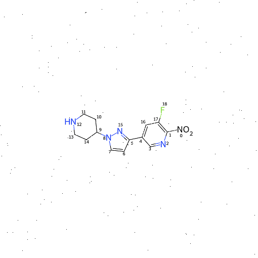 O=[N+]([O-])c1ncc(-c2ccn(C3CCNCC3)n2)cc1F